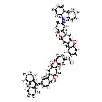 O=C(c1ccc2oc3cc4c(cc3c2c1)oc1ccc(N2c3ccccc3C3C=CC=CC32)cc14)c1ccc2oc3cc4c(cc3c2c1)oc1ccc(-n2c3ccccc3c3ccccc32)cc14